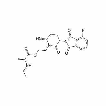 CCN[C@@H](C)C(=O)OCCN1C(=N)CCC(N2C(=O)c3cccc(F)c3C2=O)C1=O